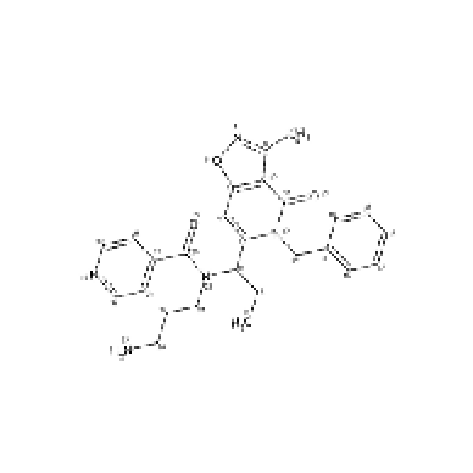 CCC(c1cc2onc(C)c2c(=O)n1Cc1ccccc1)N(CCCN)C(=O)c1ccncc1